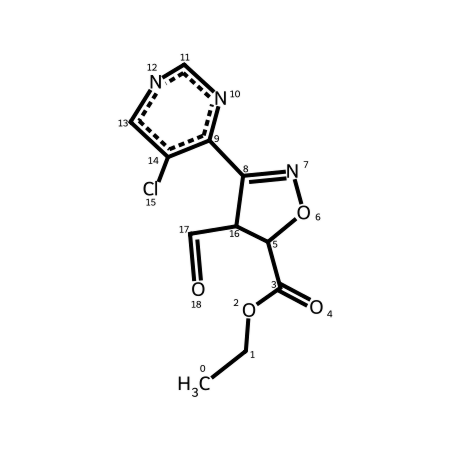 CCOC(=O)C1ON=C(c2ncncc2Cl)C1C=O